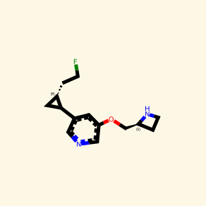 FCC[C@H]1CC1c1cncc(OC[C@@H]2CCN2)c1